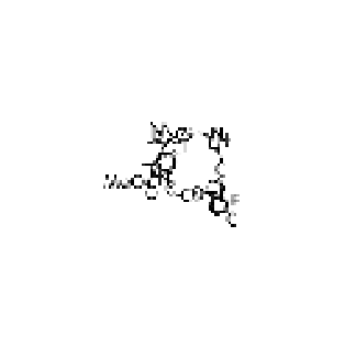 COC(=O)c1c(C)c2c3c(Cl)ccc2n1CCCOc1cc(cc2c(F)c(Cl)ccc12)CCc1cc(nn1C)CSCc1nn(C)c(C)c1-3